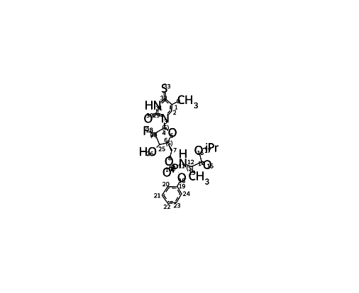 Cc1cn([C@H]2O[C@@H](CO[P@@](=O)(N[C@@H](C)C(=O)OC(C)C)Oc3ccccc3)C(O)[C@H]2F)c(=O)[nH]c1=S